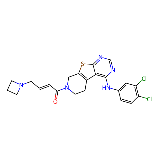 O=C(C=CCN1CCC1)N1CCc2c(sc3ncnc(Nc4ccc(Cl)c(Cl)c4)c23)C1